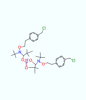 CC(C)(C)C(O[PH](=O)OC(N(OCCc1ccc(CCl)cc1)C(C)(C)C)C(C)(C)C)N(OCCc1ccc(CCl)cc1)C(C)(C)C